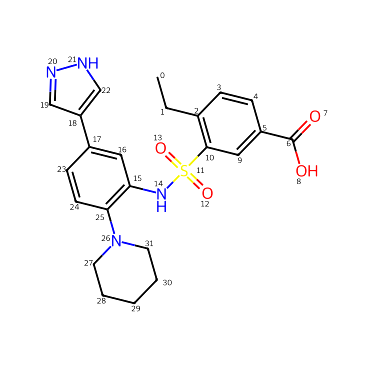 CCc1ccc(C(=O)O)cc1S(=O)(=O)Nc1cc(-c2cn[nH]c2)ccc1N1CCCCC1